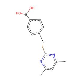 Cc1cc(C)nc(SCc2ccc(B(O)O)cc2)n1